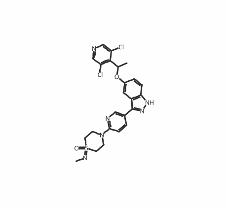 CN=S1(=O)CCN(c2ccc(-c3n[nH]c4ccc(OC(C)c5c(Cl)cncc5Cl)cc34)cn2)CC1